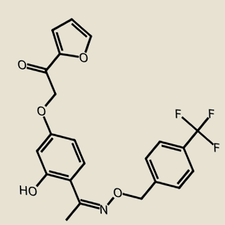 CC(=NOCc1ccc(C(F)(F)F)cc1)c1ccc(OCC(=O)c2ccco2)cc1O